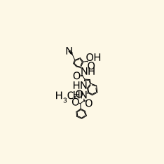 CC(=O)OC(C(=O)Nc1cccc2cc(C(=O)Nc3ccc(C#N)cc3C(=O)O)[nH]c12)c1ccccc1